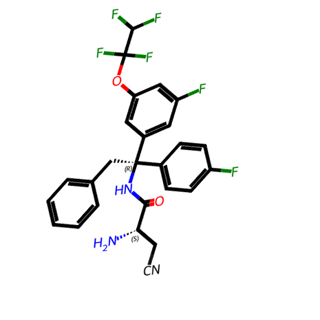 N#CC[C@H](N)C(=O)N[C@](Cc1ccccc1)(c1ccc(F)cc1)c1cc(F)cc(OC(F)(F)C(F)F)c1